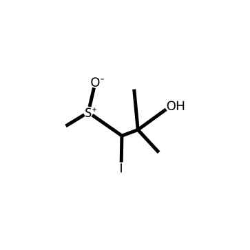 C[S+]([O-])C(I)C(C)(C)O